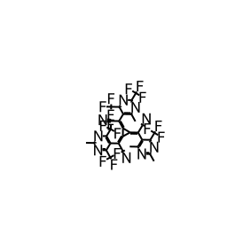 Cc1nc(C)c(/C(C#N)=C2/C(=C(C#N)c3c(C)nc(C(F)(F)F)nc3C(F)(F)F)/C2=C(/C#N)c2c(C(F)(F)F)nc(C)nc2C(F)(F)F)c(C(F)(F)F)n1